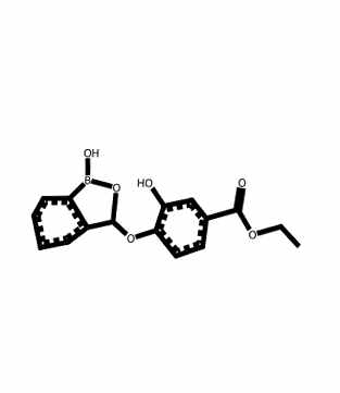 CCOC(=O)c1ccc(OC2OB(O)c3ccccc32)c(O)c1